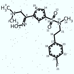 CN(C)CC(=NO)c1cc(S(=O)(=O)N(C)CCc2ccc(F)cc2)cs1